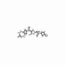 [CH2]C1CC(NC(=O)c2ccc(Cl)s2)CN1C(=O)c1cc2c(s1)CCN(C)CC2